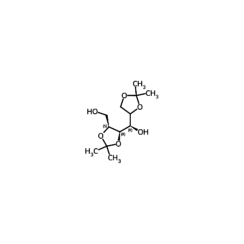 CC1(C)OCC([C@@H](O)[C@H]2OC(C)(C)O[C@H]2CO)O1